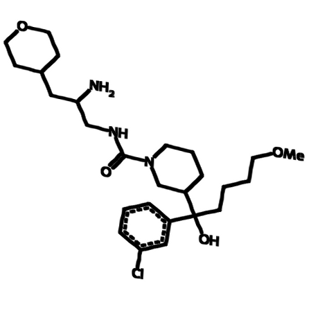 COCCCCC(O)(c1cccc(Cl)c1)C1CCCN(C(=O)NCC(N)CC2CCOCC2)C1